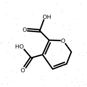 O=C(O)C1=C(C(=O)O)OCC=C1